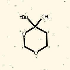 CC(C)(C)C1(C)CCOCO1